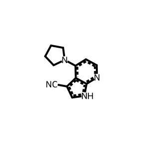 N#Cc1c[nH]c2nccc(N3CCCC3)c12